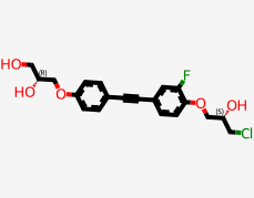 OC[C@@H](O)COc1ccc(C#Cc2ccc(OC[C@H](O)CCl)c(F)c2)cc1